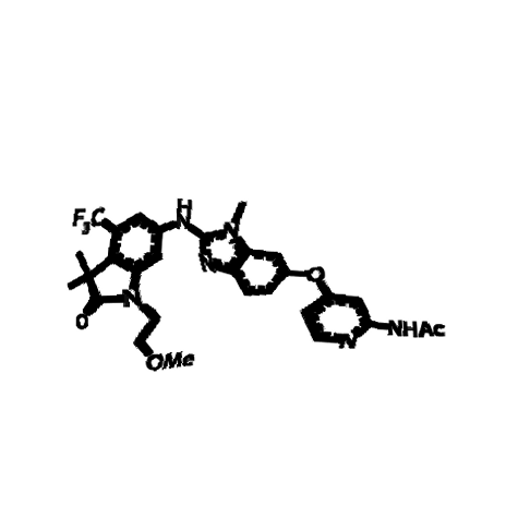 COCCN1C(=O)C(C)(C)c2c1cc(Nc1nc3ccc(Oc4ccnc(NC(C)=O)c4)cc3n1C)cc2C(F)(F)F